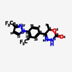 CC1OC(=O)NN=C1c1ccc(-n2ccc(C(F)(F)F)n2)c(C(F)(F)F)c1